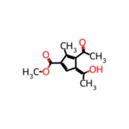 COC(=O)C1=CC(=C(C)O)C(C(C)=O)=C1C